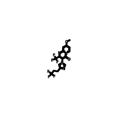 COc1ccn2c(=O)c(-n3cnc(CCC(F)(F)F)c3)c(C(F)(F)F)nc2c1